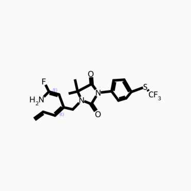 C=C/C=C(\C=C(/N)F)CN1C(=O)N(c2ccc(SC(F)(F)F)cc2)C(=O)C1(C)C